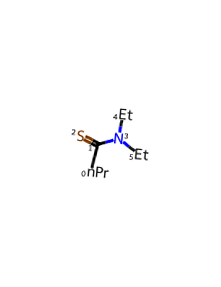 CCCC(=S)N(CC)CC